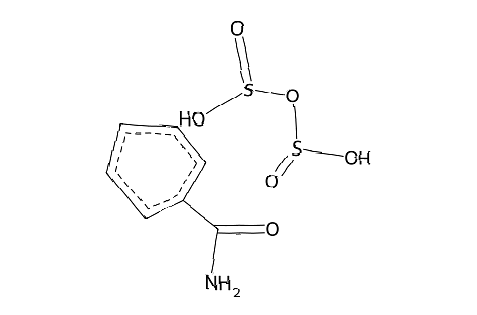 NC(=O)c1ccccc1.O=S(O)OS(=O)O